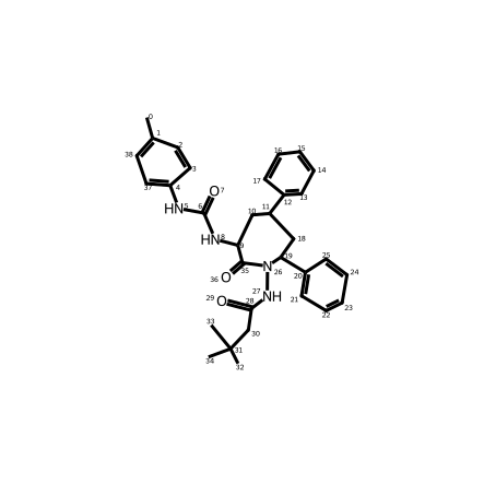 Cc1ccc(NC(=O)NC2CC(c3ccccc3)CC(c3ccccc3)N(NC(=O)CC(C)(C)C)C2=O)cc1